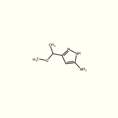 COC(C)c1cc(N)[nH]n1